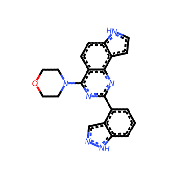 c1cc(-c2nc(N3CCOCC3)c3ccc4[nH]ccc4c3n2)c2cn[nH]c2c1